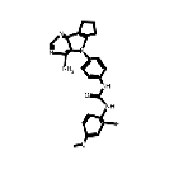 COc1ccc(NC(=O)Nc2ccc(-n3c4c(c5ncnc(N)c53)CCC4)cc2)c(F)c1